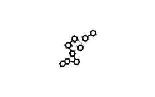 c1ccc(-c2ccc(N(c3ccccc3)c3cccc4c3oc3c(-c5ccc(-c6ccccc6-c6ccc7ccccc7c6)cc5)cccc34)cc2)cc1